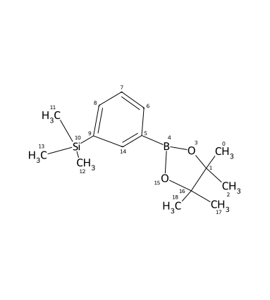 CC1(C)OB(c2cccc([Si](C)(C)C)c2)OC1(C)C